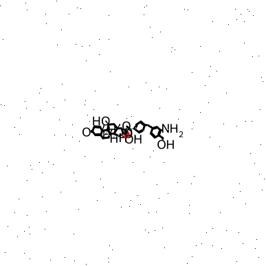 C[C@]12C=CC(=O)C=C1CC[C@H]1[C@@H]3C[C@H]4O[C@@H](c5ccc(Cc6ccc(CO)c(N)c6)cc5)O[C@@]4(C(=O)CO)[C@@]3(C)C[C@H](O)[C@@]12F